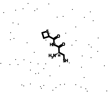 N[C@@H](CS)C(=O)NC(=O)C1CCS1